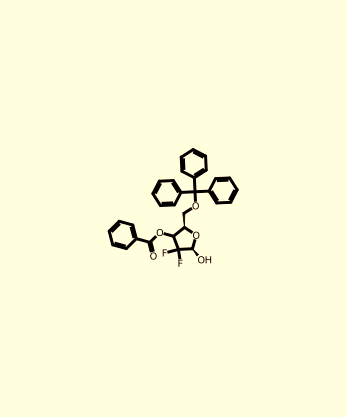 O=C(OC1[C@@H](COC(c2ccccc2)(c2ccccc2)c2ccccc2)O[C@@H](O)C1(F)F)c1ccccc1